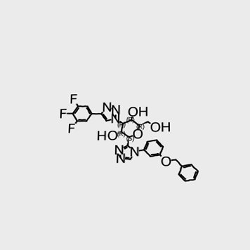 OC[C@H]1O[C@@H](c2nncn2-c2cccc(OCc3ccccc3)c2)[C@H](O)[C@@H](n2cc(-c3cc(F)c(F)c(F)c3)nn2)[C@H]1O